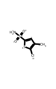 Cc1cc(S(N)(=O)=O)sc1Cl